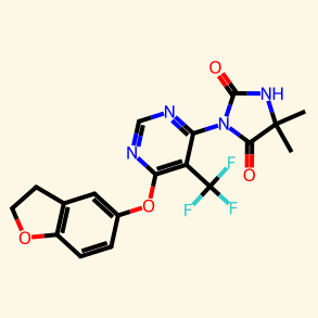 CC1(C)NC(=O)N(c2ncnc(Oc3ccc4c(c3)CCO4)c2C(F)(F)F)C1=O